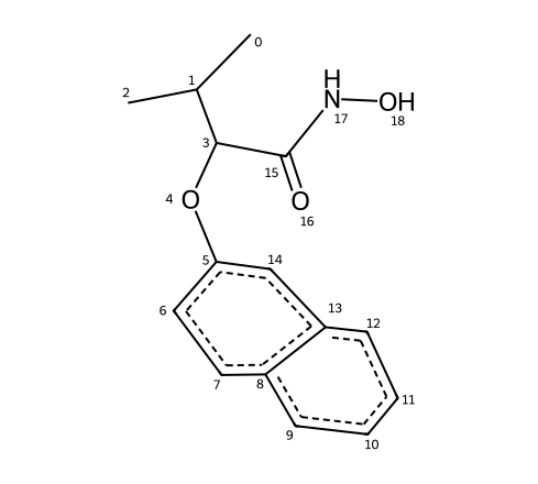 CC(C)C(Oc1ccc2ccccc2c1)C(=O)NO